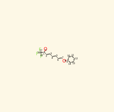 O=C(C=CC=CC=COc1ccccc1)C(F)(F)F